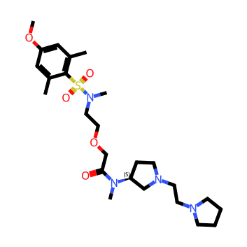 COc1cc(C)c(S(=O)(=O)N(C)CCOCC(=O)N(C)[C@H]2CCN(CCN3CCCC3)C2)c(C)c1